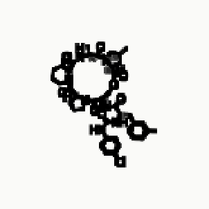 Cc1cccc(C[C@H](NC(=O)Nc2ccc(Cl)cc2)C(=O)N[C@H]2COC(=O)[C@@H]3C[C@H](C)CN3C(=O)[C@H](C)NC(=O)[C@@H]3CCCCN3C(=O)[C@@H]3CCCN3C2=O)c1